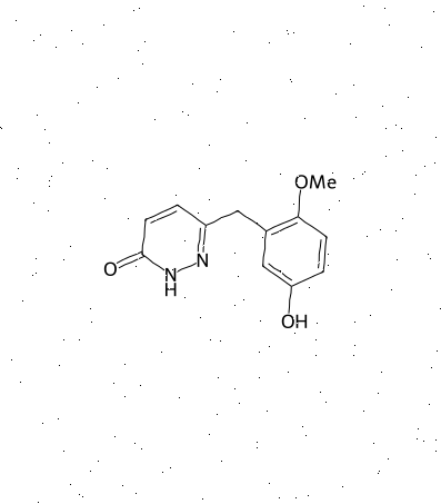 COc1ccc(O)cc1Cc1ccc(=O)[nH]n1